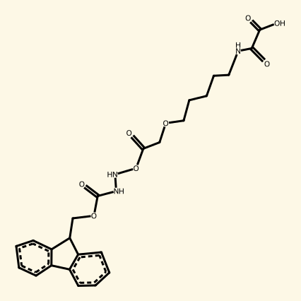 O=C(COCCCCCNC(=O)C(=O)O)ONNC(=O)OCC1c2ccccc2-c2ccccc21